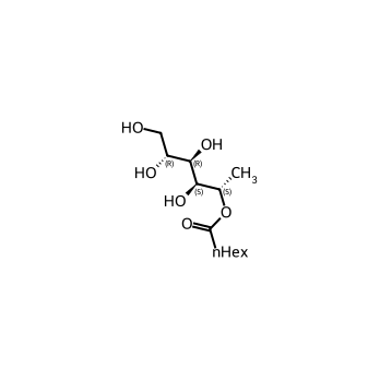 CCCCCCC(=O)O[C@@H](C)[C@@H](O)[C@H](O)[C@H](O)CO